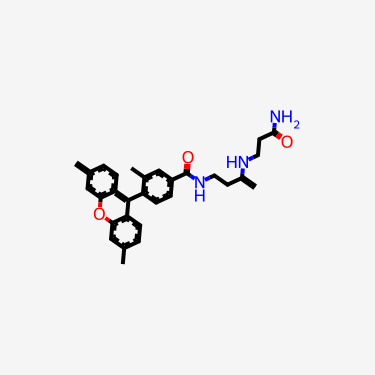 C=C(CCNC(=O)c1ccc(C2=c3ccc(=C)cc3Oc3cc(C)ccc32)c(C)c1)NCCC(N)=O